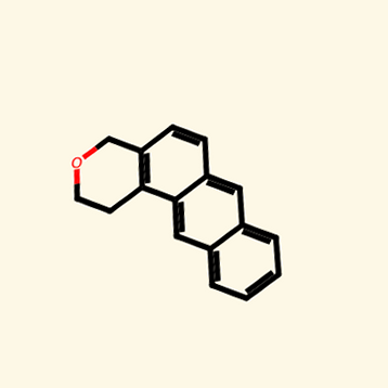 c1ccc2cc3c4c(ccc3cc2c1)COCC4